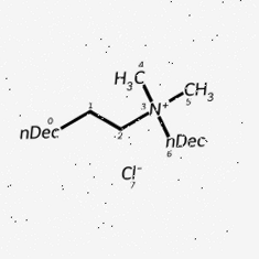 CCCCCCCCCCCC[N+](C)(C)CCCCCCCCCC.[Cl-]